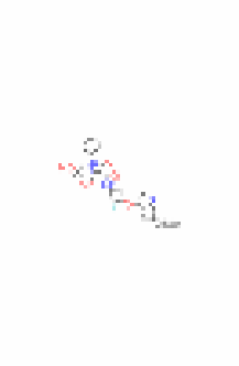 COc1ccc2c(Oc3ccc(NC(=O)c4c(C)n(CC(C)(O)CO)n(-c5ccccc5)c4=O)cc3F)ccnc2c1